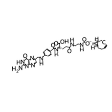 Nc1nc2ncc(CNc3ccc(C(=O)N[C@@H](CCC(=O)NCCNC(=O)OC[C@H]4[C@@H]5CCC#CCC[C@@H]54)C(=O)O)cc3)nc2c(=O)[nH]1